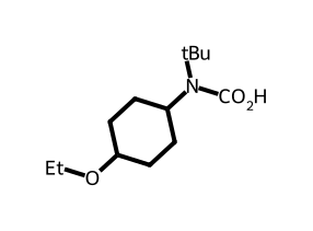 CCOC1CCC(N(C(=O)O)C(C)(C)C)CC1